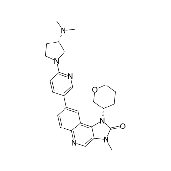 CN(C)[C@H]1CCN(c2ccc(-c3ccc4ncc5c(c4c3)n([C@H]3CCCOC3)c(=O)n5C)cn2)C1